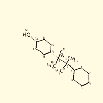 CC(C)(C1CCCCC1)C(C)(C)[C@H]1CC[C@@H](O)CC1